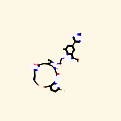 CC(=O)c1nn(CC(=O)N2C3C[C@@]34Cc3nc(no3)/C=C/COCc3ccc(Br)nc3NC(=O)[C@@H]2C4)c2c(C)cc(-c3cnc(C)nc3)cc12